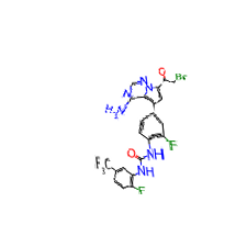 Nc1ncnn2c(C(=O)CBr)cc(-c3ccc(NC(=O)Nc4cc(C(F)(F)F)ccc4F)c(F)c3)c12